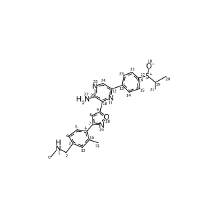 CNCc1ccc(-c2cc(-c3nc(-c4ccc([S+]([O-])C(C)C)cc4)cnc3N)on2)c(C)c1